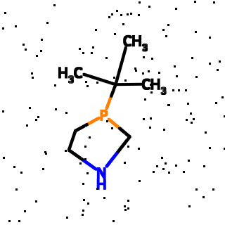 CC(C)(C)P1CCNC1